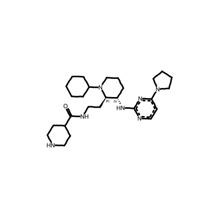 O=C(NCC[C@@H]1[C@@H](Nc2nccc(N3CCCC3)n2)CCCN1C1CCCCC1)C1CCNCC1